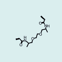 C=CC(=O)NC(C)COCCOCC(C)NC(=O)C=C